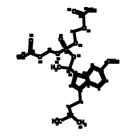 COc1ccc2c(CCN(C)C)cn(C(C)OP(=O)(OCOC(=O)C(C)(C)C)OCOC(=O)C(C)(C)C)c2c1